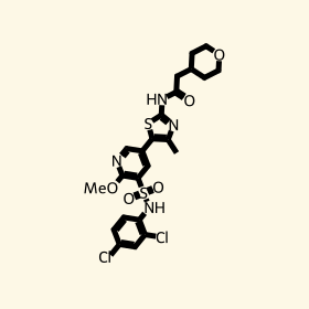 COc1ncc(-c2sc(NC(=O)CC3CCOCC3)nc2C)cc1S(=O)(=O)Nc1ccc(Cl)cc1Cl